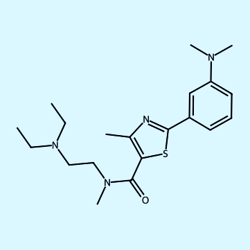 CCN(CC)CCN(C)C(=O)c1sc(-c2cccc(N(C)C)c2)nc1C